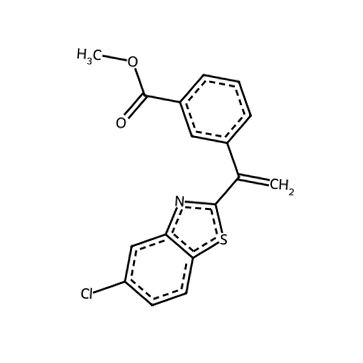 C=C(c1cccc(C(=O)OC)c1)c1nc2cc(Cl)ccc2s1